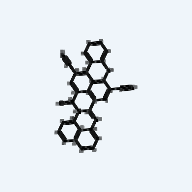 N#Cc1cc2c3c4c1Sc1ccccc1-c4c(C#N)cc3c(=O)n1c3cccc4cccc(nc21)c43